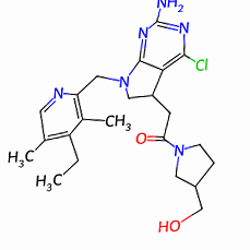 CCc1c(C)cnc(CN2CC(CC(=O)N3CCC(CO)C3)c3c(Cl)nc(N)nc32)c1C